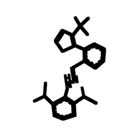 CC(C)c1cccc(C(C)C)c1NN=Cc1ccccc1C1=C(C(C)(C)C)C=CC1